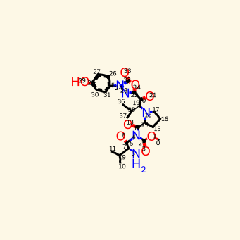 COC(=O)N(C(=O)[C@@H](N)C(C)C)C(=O)[C@@H]1CCCN1[C@H](C(=O)c1nn(-c2ccc(O)cc2)c(=O)o1)C(C)C